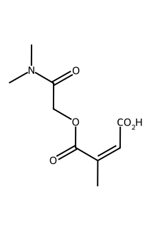 CC(=CC(=O)O)C(=O)OCC(=O)N(C)C